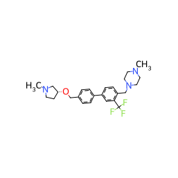 CN1CCN(Cc2ccc(-c3ccc(CO[C@@H]4CCN(C)C4)cc3)cc2C(F)(F)F)CC1